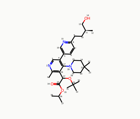 Cc1ncc(-c2ccc(CC[C@H](C)CO)nc2)c(N2CCC(C)(C)CC2)c1C(OC(C)(C)C)C(=O)OC(C)C